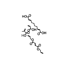 C=C(C)C(=O)O.C=CC(=O)O.C=CCOC(=O)C=CC(=O)OCC=C.O=C(O)C=CCCCCC=CC(=O)O